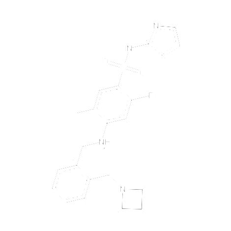 O=S(=O)(Nc1nccs1)c1cc(Cl)c(NCc2ccccc2CN2CCC2)cc1F